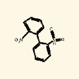 O=[N+]([O-])c1ccccc1-c1ccccc1[SH](=O)=O